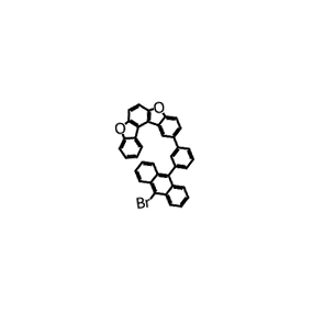 Brc1c2ccccc2c(-c2cccc(-c3ccc4oc5ccc6oc7ccccc7c6c5c4c3)c2)c2ccccc12